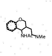 CNCCC1COc2ccccc2C1NC(C)=O